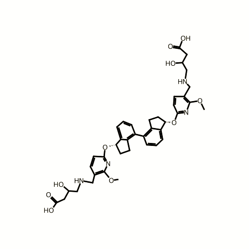 COc1nc(O[C@H]2CCc3c(-c4cccc5c4CC[C@@H]5Oc4ccc(CNCC(O)CC(=O)O)c(OC)n4)cccc32)ccc1CNCC(O)CC(=O)O